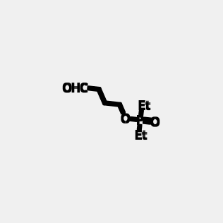 CCP(=O)(CC)OCCCC=O